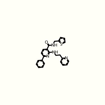 O=C(NCc1cccs1)c1ccc(-c2ccccc2)nc1NCCc1ccccn1